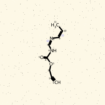 C#CCOC(=O)N/C=N\C=C/C